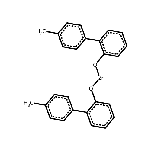 Cc1ccc(-c2ccccc2[O][Zr][O]c2ccccc2-c2ccc(C)cc2)cc1